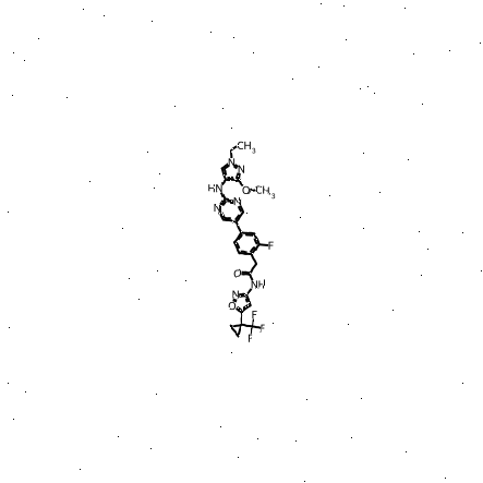 CCn1cc(Nc2ncc(-c3ccc(CC(=O)Nc4cc(C5(C(F)(F)F)CC5)on4)c(F)c3)cn2)c(OC)n1